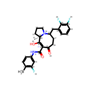 Bc1ccc(NC(=O)/C2=C(\O)[C@@]3(C)CCCN3C(Cc3cccc(F)c3F)CCC2=O)cc1F